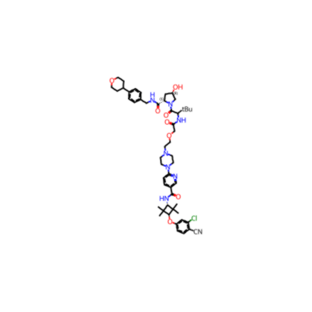 CC(C)(C)C(NC(=O)COCCN1CCN(c2ccc(C(=O)N[C@H]3C(C)(C)[C@H](Oc4ccc(C#N)c(Cl)c4)C3(C)C)cn2)CC1)C(=O)N1C[C@H](O)C[C@H]1C(=O)NCc1ccc(C2CCOCC2)cc1